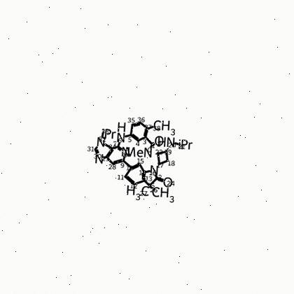 CNC(=O)c1cc(Nc2nc(-c3ccc4c(c3)N([C@H]3C[C@@H](NC(C)C)C3)C(=O)C4(C)C)cc3ncn(C(C)C)c23)ccc1C